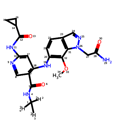 [2H]C([2H])([2H])NC(=O)c1cnc(NC(=O)C2CC2)cc1Nc1ccc2cnn(CC(N)=O)c2c1OC